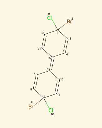 ClC1(Br)C=CC(=C2C=CC(Cl)(Br)C=C2)C=C1